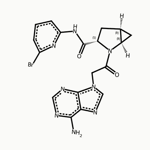 Nc1ncnc2c1ncn2CC(=O)N1[C@@H]2C[C@@H]2C[C@H]1C(=O)Nc1cccc(Br)n1